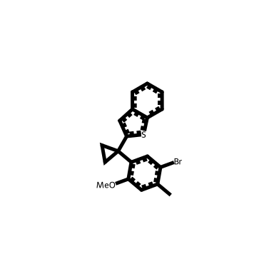 COc1cc(C)c(Br)cc1C1(c2cc3ccccc3s2)CC1